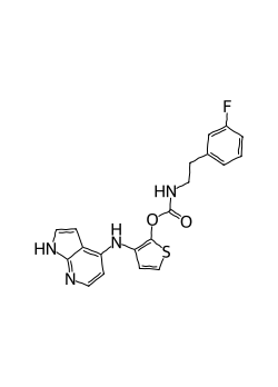 O=C(NCCc1cccc(F)c1)Oc1sccc1Nc1ccnc2[nH]ccc12